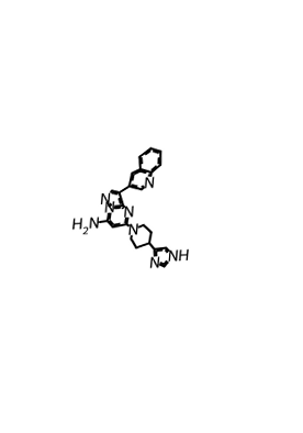 Nc1cc(N2CCC(c3c[nH]cn3)CC2)nc2c(-c3cnc4ccccc4c3)cnn12